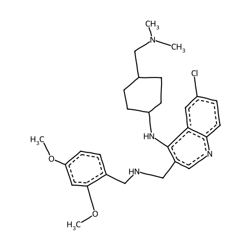 COc1ccc(CNCc2cnc3ccc(Cl)cc3c2NC2CCC(CN(C)C)CC2)c(OC)c1